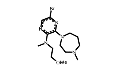 COCCN(C)c1ncc(Br)nc1N1CCCN(C)CC1